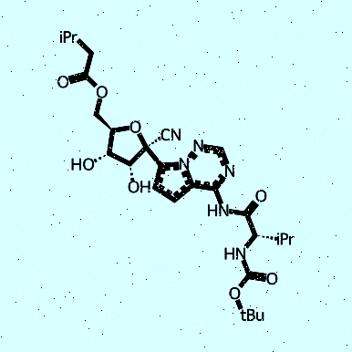 CC(C)CC(=O)OC[C@H]1O[C@@](C#N)(c2ccc3c(NC(=O)[C@@H](NC(=O)OC(C)(C)C)C(C)C)ncnn23)[C@H](O)[C@@H]1O